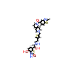 Cc1nc2cc(C(=O)N3CCCC4(CCN(Cc5cc(CCNC[C@H](O)c6ccc(O)c7[nH]c(=O)sc67)cs5)CC4)C3)ccc2s1